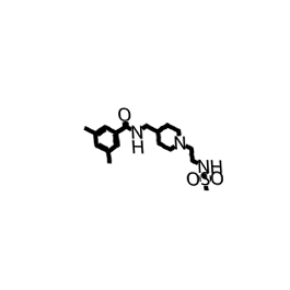 Cc1cc(C)cc(C(=O)NCC2CCN(CCNS(C)(=O)=O)CC2)c1